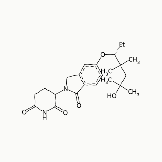 CC[C@@H](Oc1ccc2c(c1)CN(C1CCC(=O)NC1=O)C2=O)C(C)(C)CC(C)(C)O